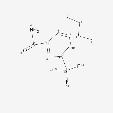 CCCC.NC(=O)c1cccc(C(F)(F)F)c1